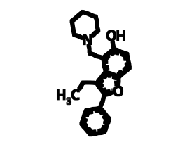 CCc1c(-c2ccccc2)oc2ccc(O)c(CN3CCCCC3)c12